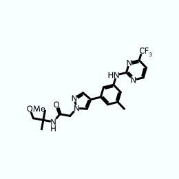 COCC(C)(C)NC(=O)Cn1cc(-c2cc(C)cc(Nc3nccc(C(F)(F)F)n3)c2)cn1